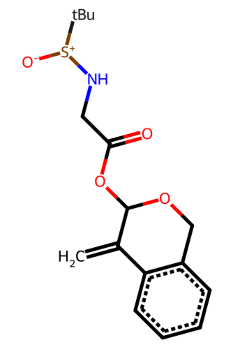 C=C1c2ccccc2COC1OC(=O)CN[S+]([O-])C(C)(C)C